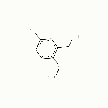 CCCCOc1ccc(C(C)=O)cc1CO